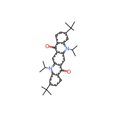 CC(C)n1c2cc(C(C)(C)C)ccc2c(=O)c2cc3c(cc21)c(=O)c1ccc(C(C)(C)C)cc1n3C(C)C